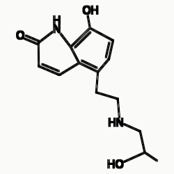 CC(O)CNCCc1ccc(O)c2[nH]c(=O)ccc12